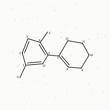 Cc1ccc(C)c(C2=CCCCC2)c1